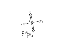 C.O=S(=O)([O-])[O-].[Zn+2]